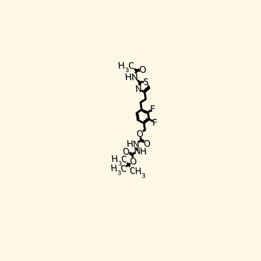 CC(=O)Nc1nc(CCc2ccc(COC(=O)NNC(=O)OC(C)(C)C)c(F)c2F)cs1